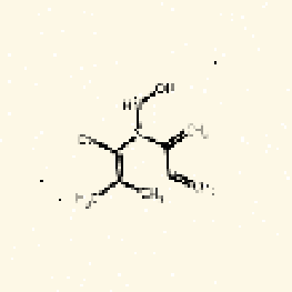 C=CC(=C)N(NO)C(CC)=C(C)C